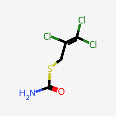 NC(=O)SCC(Cl)=C(Cl)Cl